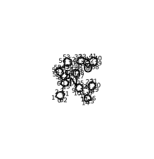 c1ccc(-c2cc(N(c3ccc(-c4ccccc4-c4ccccc4)cc3)c3ccc(-c4cccc5c4oc4ccccc45)cc3)c3sc4c(-c5ccccc5)cccc4c3c2)cc1